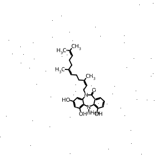 CCCCCCN1c2c(O)cccc2C(=O)N(CC=C(C)CCC=C(C)CCC=C(C)C)c2cc(O)cc(O)c21